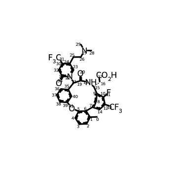 Cc1cccc2c1-c1cc(c(F)c(C(F)(F)F)c1)[C@@H](CC(=O)O)NC(=O)[C@H](n1cc(CCN(C)C)c(C(F)(F)F)cc1=O)c1cccc(c1)O2